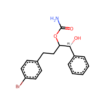 NC(=O)OC(CCc1ccc(Br)cc1)[C@H](O)c1ccccc1